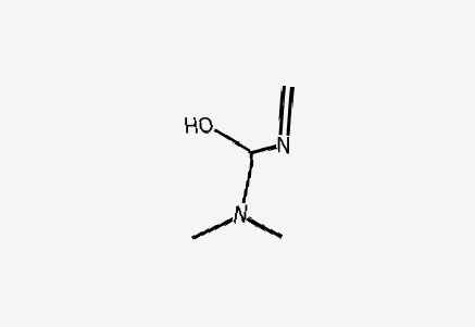 C=NC(O)N(C)C